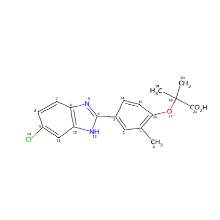 Cc1cc(-c2nc3ccc(Cl)cc3[nH]2)ccc1OC(C)(C)C(=O)O